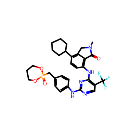 CN1Cc2c(C3CCCCC3)ccc(Nc3nc(Nc4ccc(CP5(=O)OCCCO5)cc4)ncc3C(F)(F)F)c2C1=O